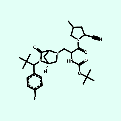 CC1CC(C#N)N(C(=O)C(CN2C[C@@H]3CC2C(=O)N3C(c2ccc(F)cc2)C(C)(C)C)NC(=O)OC(C)(C)C)C1